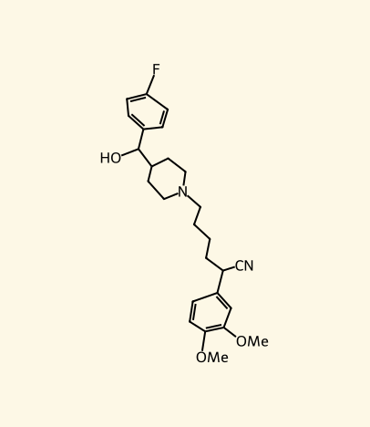 COc1ccc(C(C#N)CCCCN2CCC(C(O)c3ccc(F)cc3)CC2)cc1OC